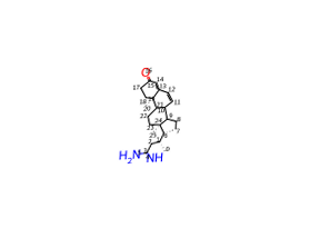 C[C@H](CC(=N)N)[C@H]1CCC2C3C=CC4=CC(=O)CC[C@]4(C)C3CC[C@@]21C